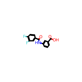 O=C(O)c1cccc(NC(=O)c2ccc(F)c(F)c2)c1